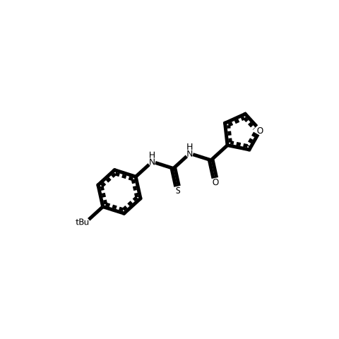 CC(C)(C)c1ccc(NC(=S)NC(=O)c2ccoc2)cc1